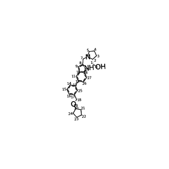 OC[C@H]1CCCN1Cc1cc2cc(-c3cccc(COC4CCCC4)c3)ccc2[nH]1